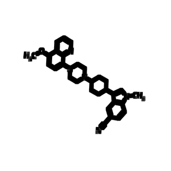 COc1ccc(N2CCN(C3CCC(c4cn(C)c5ccc(C#N)cc45)CC3)CC2)c2ncccc12